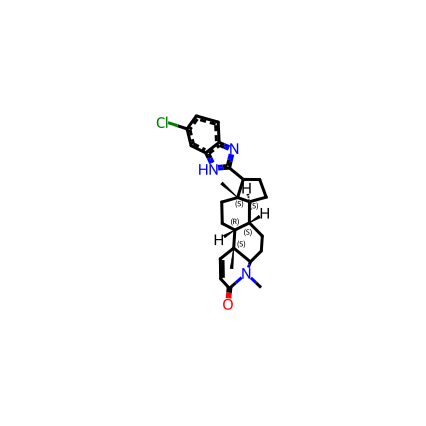 CN1C(=O)C=C[C@@]2(C)C1CC[C@@H]1[C@H]2CC[C@]2(C)C(c3nc4ccc(Cl)cc4[nH]3)CC[C@@H]12